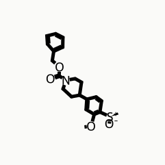 COc1cc(C2CCN(C(=O)OCc3ccccc3)CC2)ccc1[S@@+](C)[O-]